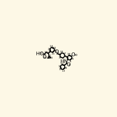 COc1ccc(NC(=O)c2ccccc2)c(C2CCC(COc3cccc(C(CC(=O)O)C4CC4)c3)CC2)c1